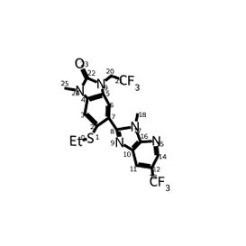 CCSc1cc2c(cc1-c1nc3cc(C(F)(F)F)cnc3n1C)n(CC(F)(F)F)c(=O)n2C